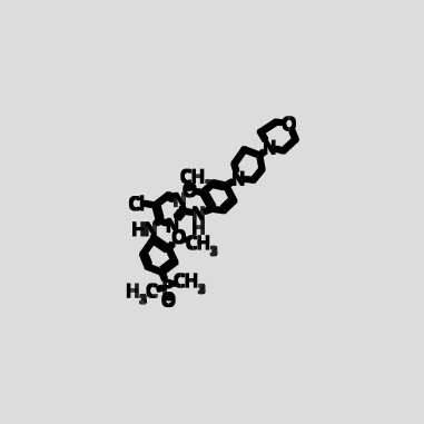 COc1cc(N2CCC(N3CCOCC3)CC2)ccc1Nc1ncc(Cl)c(Nc2ccc(P(C)(C)=O)cc2OC)n1